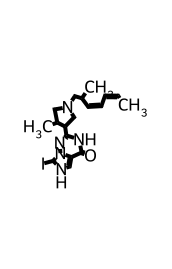 C/C=C\C=C/C(C)CN1CC(C)C(C2=NN3C(=CNC3I)C(=O)N2)C1